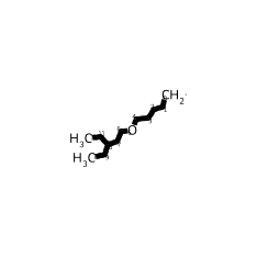 [CH2]CCCCOCCC(CC)CC